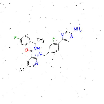 CC(NC(=O)c1cc(C#N)cnc1NCc1ccc(-c2cnc(N)cn2)c(F)c1)c1ccc(F)cc1